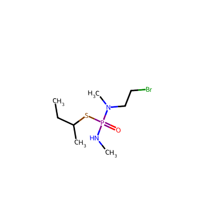 CCC(C)SP(=O)(NC)N(C)CCBr